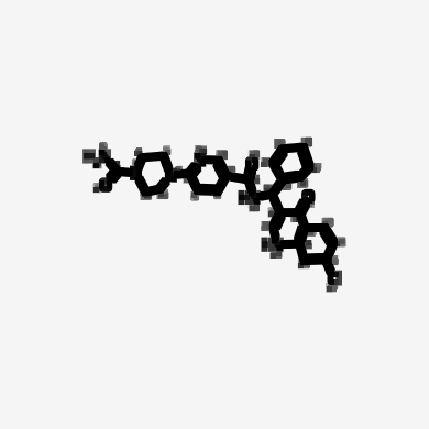 NC(=O)N1CCN(c2ccc(C(=O)NC(c3ccccc3)c3c[nH]c4cc(Cl)ccc4c3=O)cn2)CC1